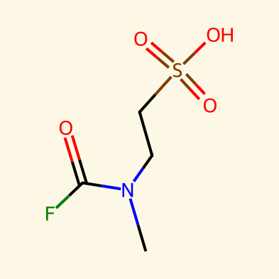 CN(CCS(=O)(=O)O)C(=O)F